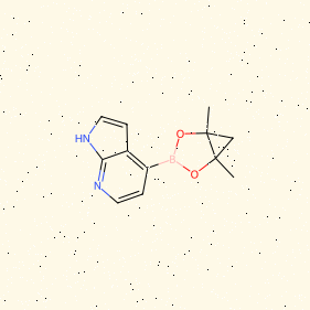 CC12CC1(C)OB(c1ccnc3[nH]ccc13)O2